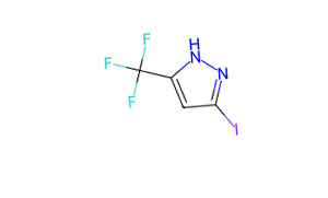 FC(F)(F)c1cc(I)n[nH]1